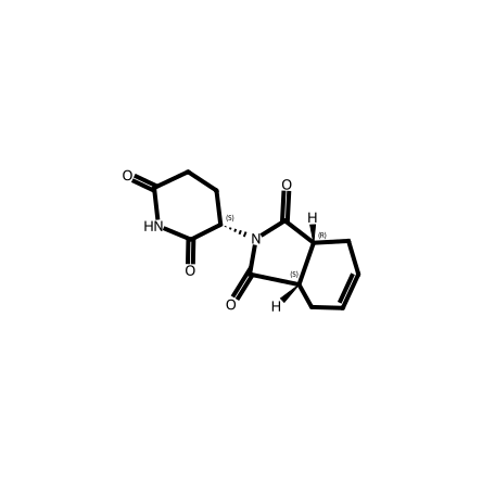 O=C1CC[C@H](N2C(=O)[C@H]3CC=CC[C@H]3C2=O)C(=O)N1